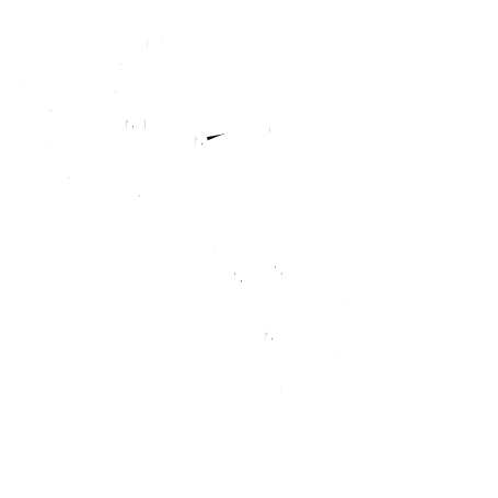 CCC[C@H](C)Nc1cc(-n2nc(COCc3ccccc3)n(CC)c2=O)c(F)cc1C(=O)Nc1c(F)cccc1Cl